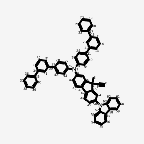 C#CC1(C)c2cc(N(c3ccc(-c4cccc(-c5ccccc5)c4)cc3)c3ccc(-c4cccc(-c5ccccc5)c4)cc3)ccc2-c2ccc(-n3c4ccccc4c4ccccc43)cc21